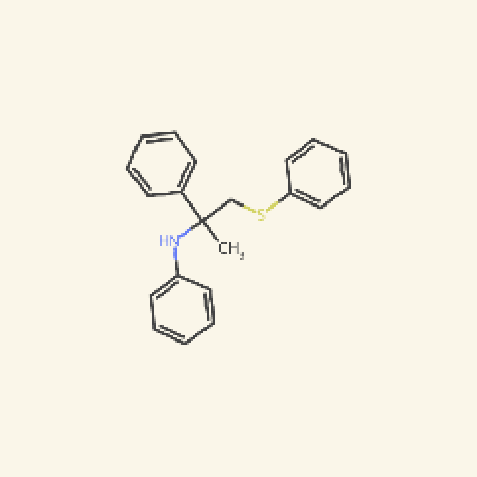 CC(CSc1ccccc1)(Nc1ccccc1)c1ccccc1